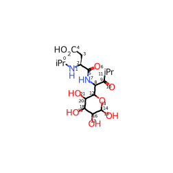 CC(C)N[C@@H](CC(=O)O)C(=O)NC(C(=O)C(C)C)C1OC(O)C(O)C(O)C1O